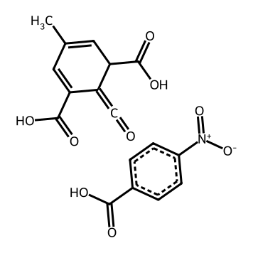 CC1=CC(C(=O)O)C(=C=O)C(C(=O)O)=C1.O=C(O)c1ccc([N+](=O)[O-])cc1